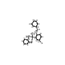 CCC(C)(Pc1ccccc1F)c1cc(C)ccc1OCc1ccccc1